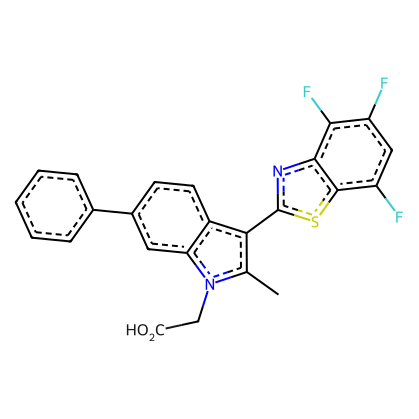 Cc1c(-c2nc3c(F)c(F)cc(F)c3s2)c2ccc(-c3ccccc3)cc2n1CC(=O)O